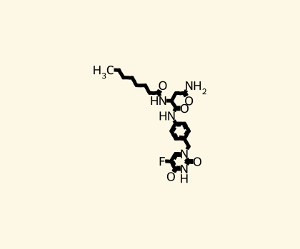 CCCCCCCC(=O)NC(CC(N)=O)C(=O)Nc1ccc(Cn2cc(F)c(=O)[nH]c2=O)cc1